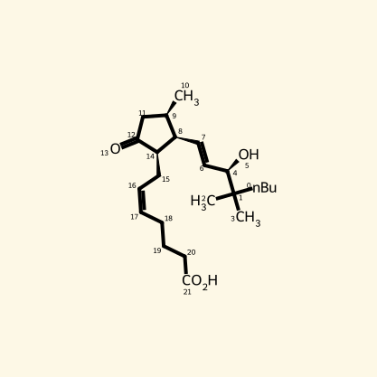 CCCCC(C)(C)[C@H](O)/C=C/[C@@H]1[C@H](C)CC(=O)[C@@H]1C/C=C\CCCC(=O)O